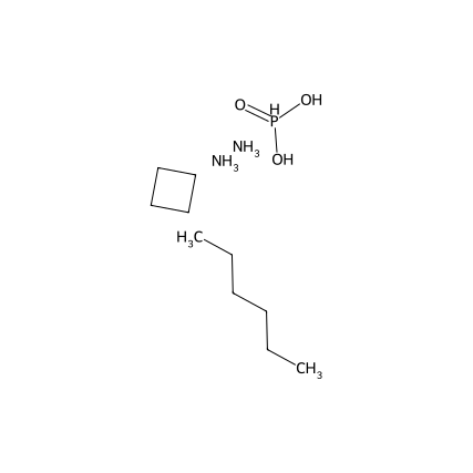 C1CCC1.CCCCCC.N.N.O=[PH](O)O